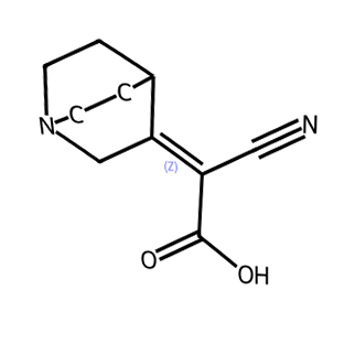 N#C/C(C(=O)O)=C1/CN2CCC1CC2